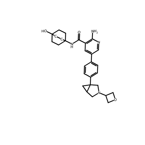 Nc1ncc(-c2ccc(C34CC3CN(C3COC3)C4)cc2)cc1C(=O)NC12CCC(O)(CC1)CC2